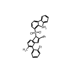 CCc1ccccc1-c1c(C)ccc2c1C=C(C(C)C)[CH]2[Zr]([Cl])([Cl])[c]1cccc2c1[SiH2]c1ccccc1-2